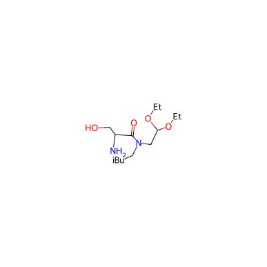 CCOC(CN(CC(C)CC)C(=O)C(N)CO)OCC